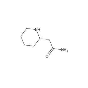 NC(=O)C[C@@H]1CCCCN1